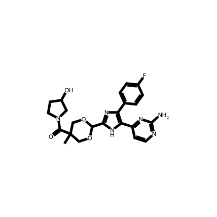 CC1(C(=O)N2CCC(O)C2)COC(c2nc(-c3ccc(F)cc3)c(-c3ccnc(N)n3)[nH]2)OC1